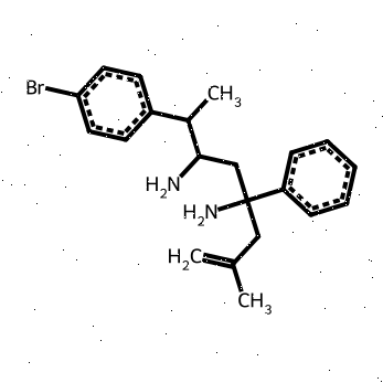 C=C(C)CC(N)(CC(N)C(C)c1ccc(Br)cc1)c1ccccc1